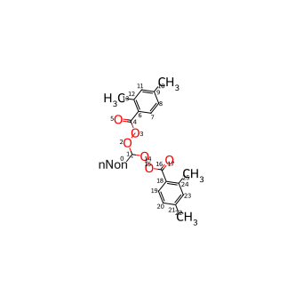 [CH2]CCCCCCCC[C](OOC(=O)c1ccc(C)cc1C)OOC(=O)c1ccc(C)cc1C